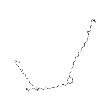 CCCCOCCCCCCCCCCCCCCCCc1cccc(CCCCCCCCC/C=C/C(C)CCCCCCOCCCC)c1